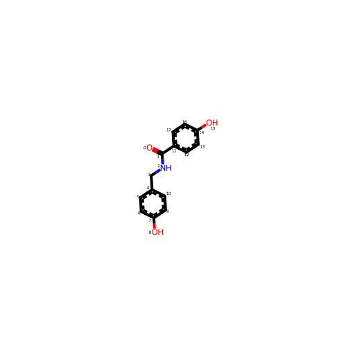 O=C(NCc1ccc(O)cc1)c1ccc(O)cc1